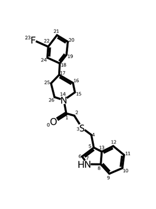 O=C(CSCc1c[nH]c2ccccc12)N1CC=C(c2cccc(F)c2)CC1